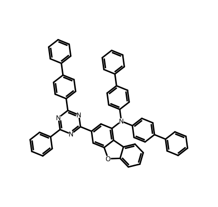 c1ccc(-c2ccc(-c3nc(-c4ccccc4)nc(-c4cc(N(c5ccc(-c6ccccc6)cc5)c5ccc(-c6ccccc6)cc5)c5c(c4)oc4ccccc45)n3)cc2)cc1